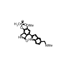 CNCc1ccc2[nH]c(-c3cc(OC)c(OS(C)(=O)=O)c4c3C(=O)NC4)cc2c1